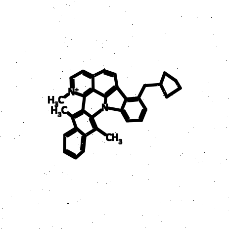 Cc1c2ccccc2c(C)c2c1c1c3c(ccc4c5c(CC6CCCC6)cccc5n2c43)cc[n+]1C